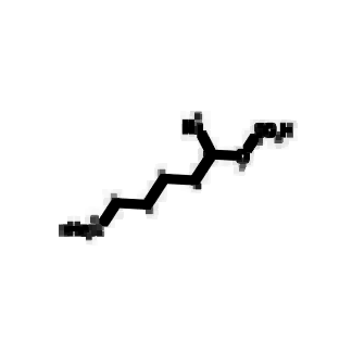 CCCCCCCCCCC[CH]([Na])OS(=O)(=O)O